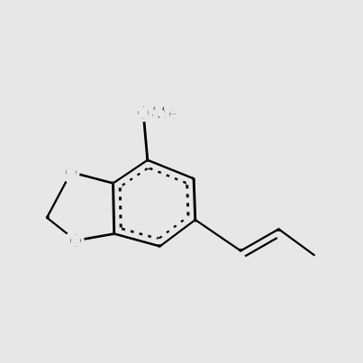 C/C=C/c1cc(OC)c2c(c1)OCO2